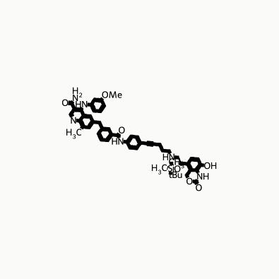 COc1cccc(Nc2c(C(N)=O)cnc3c(C)cc(Cc4cccc(C(=O)Nc5ccc(C#CCCCNC[C@H](O[Si](C)(C)C(C)(C)C)c6ccc(O)c7c6COC(=O)N7)cc5)c4)cc23)c1